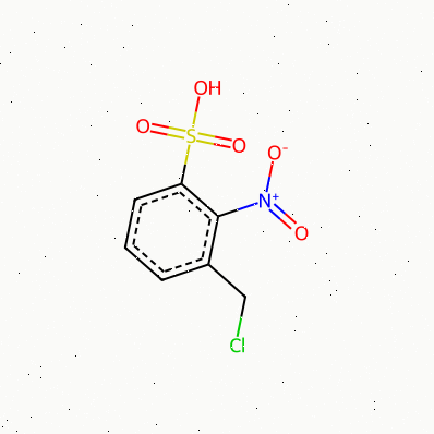 O=[N+]([O-])c1c(CCl)cccc1S(=O)(=O)O